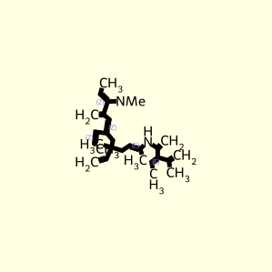 C=CC(C)(C/C=C(\C)NC(=C)/C(=C/C)C(=C)C)CC(/C=C\C)=C/C(=C)/C(=C/C)NC